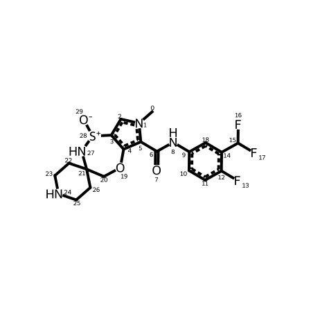 Cn1cc2c(c1C(=O)Nc1ccc(F)c(C(F)F)c1)OCC1(CCNCC1)N[S+]2[O-]